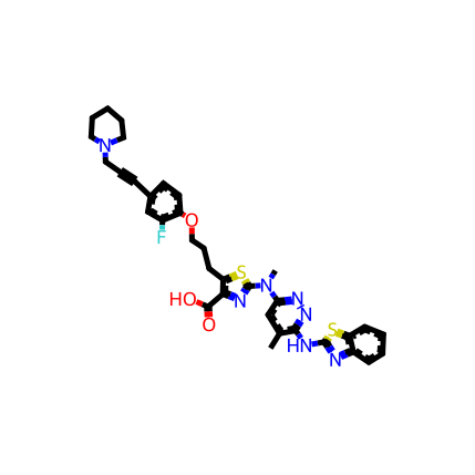 Cc1cc(N(C)c2nc(C(=O)O)c(CCCOc3ccc(C#CCN4CCCCC4)cc3F)s2)nnc1Nc1nc2ccccc2s1